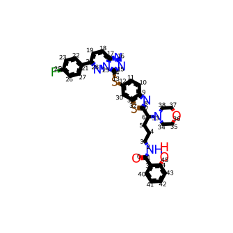 O=C(NCCCC(c1nc2ccc(Sc3nnc4ccc(-c5ccc(F)cc5)nn34)cc2s1)N1CCOCC1)c1ccccc1O